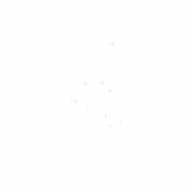 NC(=O)c1c(-c2cnn(Cc3ccccc3)c2)nn(C2CC3(CNC3)C2)c1N